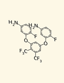 Nc1ccc(F)c(Oc2cc(Oc3cc(N)ccc3F)c(C(F)(F)F)c(C(F)(F)F)c2)c1